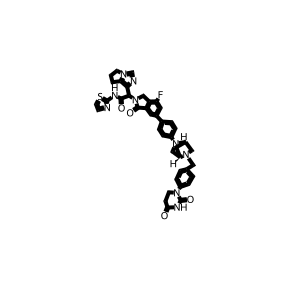 O=C1CCN(c2ccc(CN3C[C@H]4C[C@@H]3CN4c3ccc(-c4cc(F)c5c(c4)C(=O)N(C(C(=O)Nc4nccs4)c4ncn6c4CCC6)C5)cc3)cc2)C(=O)N1